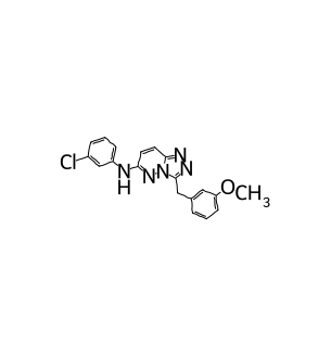 COc1cccc(Cc2nnc3ccc(Nc4cccc(Cl)c4)nn23)c1